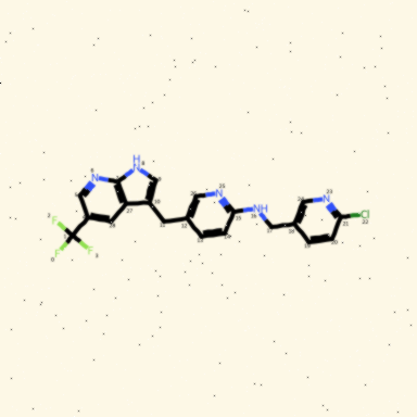 FC(F)(F)c1cnc2[nH]cc(Cc3ccc(NCc4ccc(Cl)nc4)nc3)c2c1